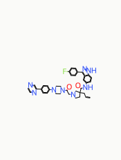 C=CCC1(C(=O)Nc2ccc3[nH]nc(-c4ccc(F)cc4)c3c2)CCN(CC(=O)N2CCN(c3ccc(-c4cnccn4)cc3)CC2)C1